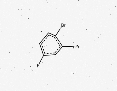 CCCc1cc(F)ccc1Br